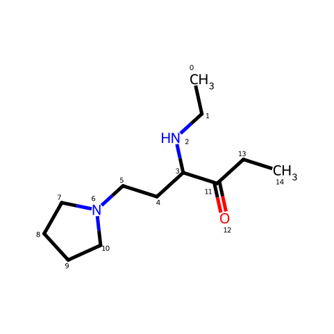 CCNC(CCN1CCCC1)C(=O)CC